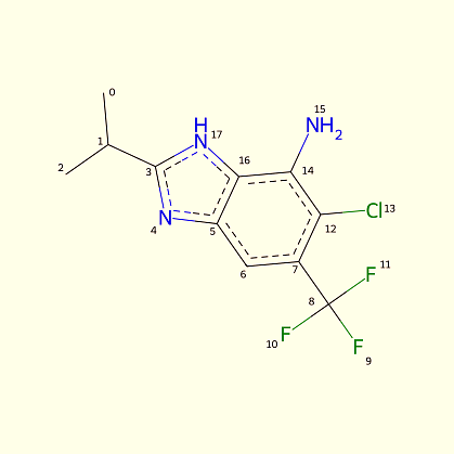 CC(C)c1nc2cc(C(F)(F)F)c(Cl)c(N)c2[nH]1